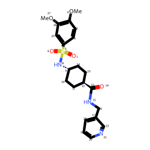 COc1ccc(S(=O)(=O)N[C@H]2CC[C@H](C(=O)NCc3cccnc3)CC2)cc1OC